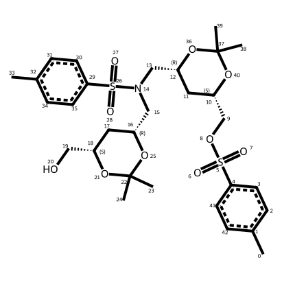 Cc1ccc(S(=O)(=O)OC[C@@H]2C[C@H](CN(C[C@H]3C[C@@H](CO)OC(C)(C)O3)S(=O)(=O)c3ccc(C)cc3)OC(C)(C)O2)cc1